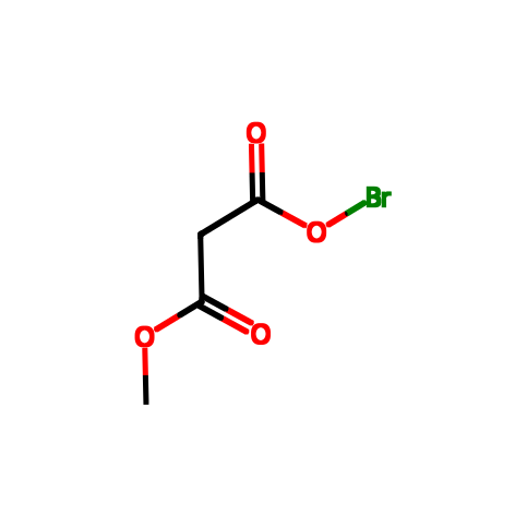 COC(=O)CC(=O)OBr